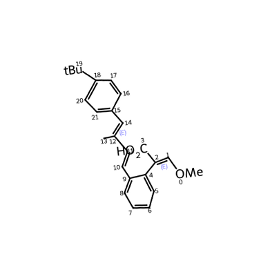 CO/C=C(/C(=O)O)c1ccccc1C=C/C(C)=C/c1ccc(C(C)(C)C)cc1